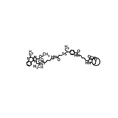 CCOCc1nc2c(N)nc3ccccc3c2n1CC(C)(C)NC(=O)CCCCCNC(=O)CCSSC(C)c1ccc(C(=O)NCCCCC2NC3C4CCCCCCC(CC4)C3(C)C2=O)cc1